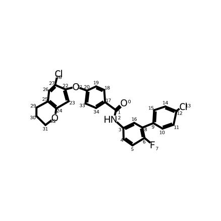 O=C(Nc1ccc(F)c(-c2ccc(Cl)cc2)c1)c1ccc(Oc2cc3c(cc2Cl)CCCO3)cc1